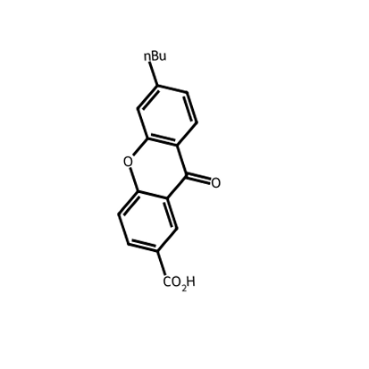 CCCCc1ccc2c(=O)c3cc(C(=O)O)ccc3oc2c1